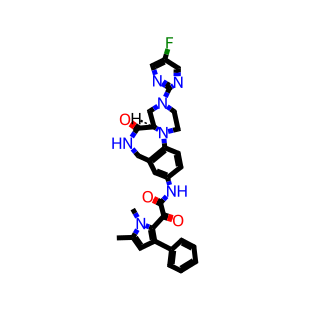 Cc1cc(-c2ccccc2)c(C(=O)C(=O)Nc2ccc3c(c2)CNC(=O)[C@H]2CN(c4ncc(F)cn4)CCN32)n1C